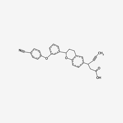 CC#CC(CC(=O)O)c1ccc2c(c1)CCC(c1cccc(Oc3ccc(C#N)cc3)c1)O2